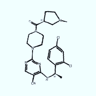 C[C@@H](Nc1nc(N2CCN(C(=O)[C@H]3CCN(C)C3)CC2)ncc1C#N)c1ccc(Cl)cc1Cl